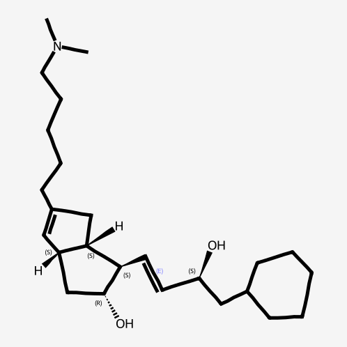 CN(C)CCCCCC1=C[C@H]2C[C@@H](O)[C@H](/C=C/[C@@H](O)CC3CCCCC3)[C@H]2C1